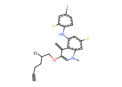 C#CCCC(CC)COC1=CN(C)c2cc(F)cc(Nc3ccc(I)cc3F)c2C1=C